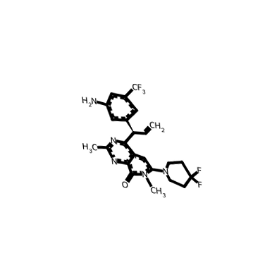 C=C[C@H](c1cc(N)cc(C(F)(F)F)c1)c1nc(C)nc2c(=O)n(C)c(N3CCC(F)(F)CC3)cc12